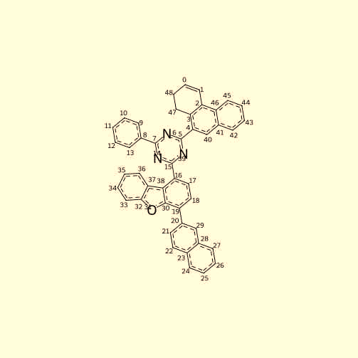 C1=Cc2c(c(-c3nc(-c4ccccc4)nc(-c4ccc(-c5ccc6ccccc6c5)c5oc6ccccc6c45)n3)cc3ccccc23)CC1